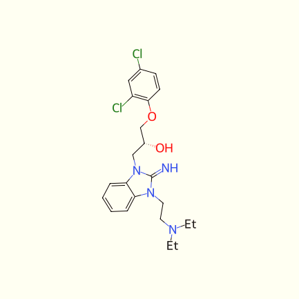 CCN(CC)CCn1c(=N)n(C[C@@H](O)COc2ccc(Cl)cc2Cl)c2ccccc21